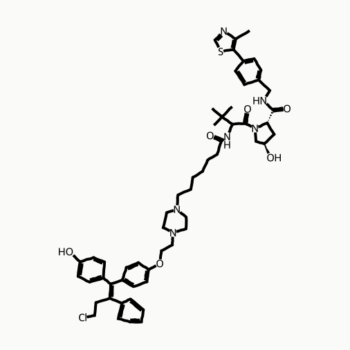 Cc1ncsc1-c1ccc(CNC(=O)[C@@H]2C[C@@H](O)CN2C(=O)C(NC(=O)CCCCCCN2CCN(CCOc3ccc(C(=C(CCCl)c4ccccc4)c4ccc(O)cc4)cc3)CC2)C(C)(C)C)cc1